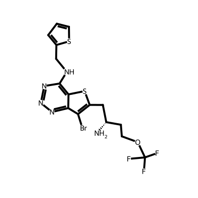 N[C@@H](CCOC(F)(F)F)Cc1sc2c(NCc3cccs3)nnnc2c1Br